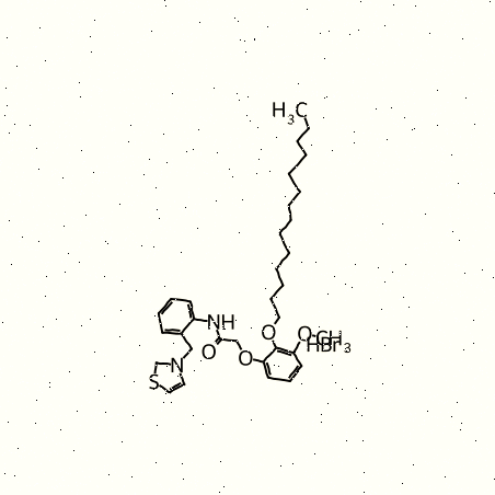 Br.CCCCCCCCCCCCCCOc1c(OC)cccc1OCC(=O)Nc1ccccc1CN1C=CSC1